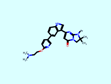 CC(C)N1c2nc(-c3c[nH]c4ccc(-c5ccc(OCCN(C)C)nc5)cc34)cc(=O)n2CC1(C)C